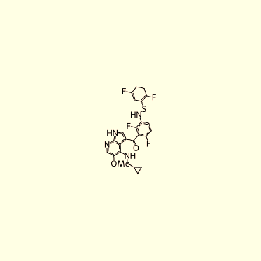 COc1cnc2[nH]cc(C(=O)c3c(F)ccc(NSC4=C(F)CCC(F)=C4)c3F)c2c1NCC1CC1